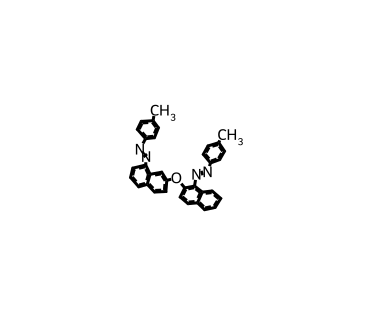 Cc1ccc(N=Nc2cccc3ccc(Oc4ccc5ccccc5c4N=Nc4ccc(C)cc4)cc23)cc1